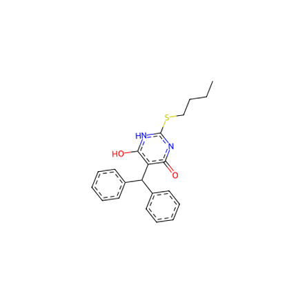 CCCCSc1nc(=O)c(C(c2ccccc2)c2ccccc2)c(O)[nH]1